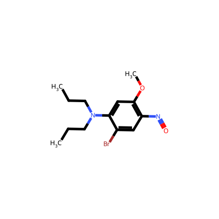 CCCN(CCC)c1cc(OC)c(N=O)cc1Br